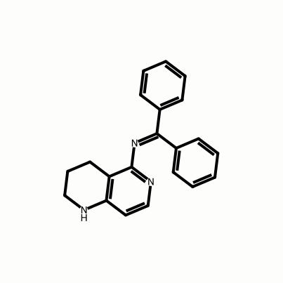 c1ccc(C(=Nc2nccc3c2CCCN3)c2ccccc2)cc1